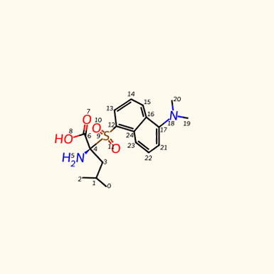 CC(C)C[C@](N)(C(=O)O)S(=O)(=O)c1cccc2c(N(C)C)cccc12